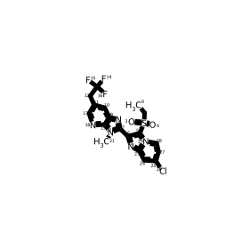 CCS(=O)(=O)c1c(-c2nc3cc(CC(F)(F)F)cnc3n2C)nc2cc(Cl)ccn12